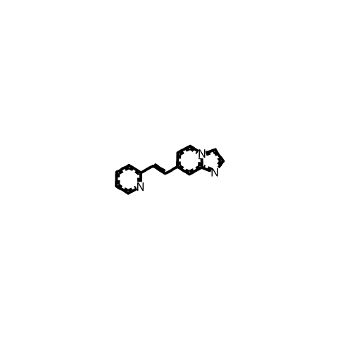 C(=Cc1ccccn1)c1ccn2ccnc2c1